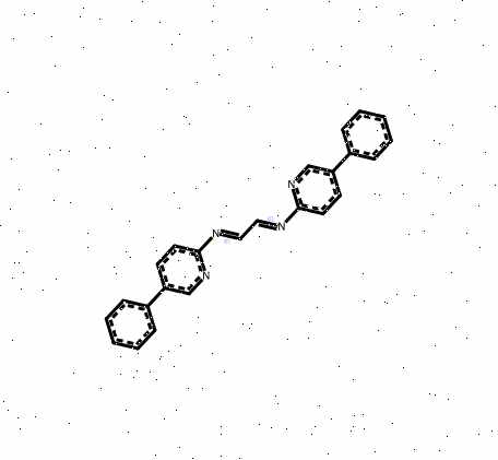 C(/C=N/c1ccc(-c2ccccc2)cn1)=N\c1ccc(-c2ccccc2)cn1